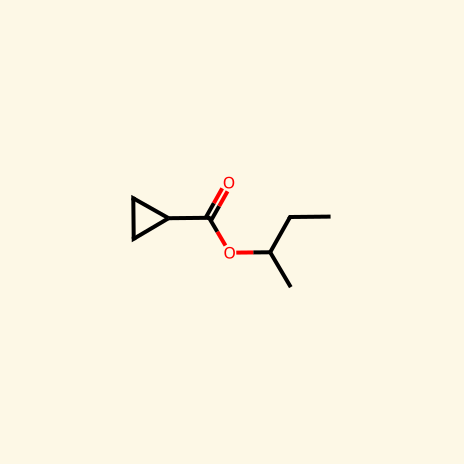 CCC(C)OC(=O)C1CC1